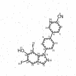 N#Cc1ccc(-c2ccc(-n3ncc4cc(F)c(O)c(F)c43)cc2)cn1